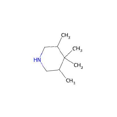 CC1CNCC(C)C1(C)C